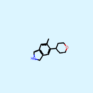 Cc1cc2c(cc1C1CCOCC1)CNC2